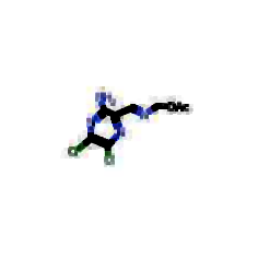 CC(=O)OC/N=C/c1nc(Cl)c(Cl)nc1N